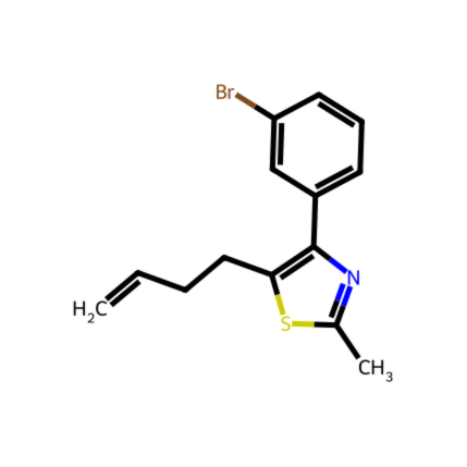 C=CCCc1sc(C)nc1-c1cccc(Br)c1